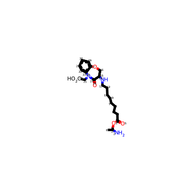 CC(N)OC(=O)CCCCCCCCNC1COc2ccccc2N(CC(=O)O)C1=O